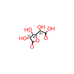 O=C1OC([C@@H](O)C(=O)O)[C@H](O)[C@@H]1O